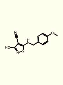 COc1ccc(CNc2snc(O)c2C#N)cc1